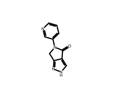 O=C1c2c[nH]nc2CN1c1cccnc1